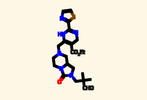 CCOC(=O)C1=C(CN2CCN3C(=O)N(CC(C)(C)C=O)CC3C2)NC(c2nccs2)=NC1